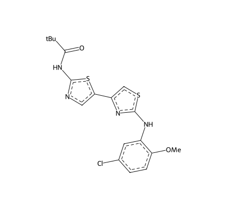 COc1ccc(Cl)cc1Nc1nc(-c2cnc(NC(=O)C(C)(C)C)s2)cs1